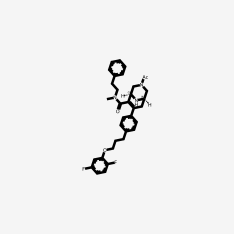 CC(=O)N1C[C@H]2CC(c3ccc(CCCOc4cc(F)ccc4F)cc3)=C(C(=O)N(C)CCc3ccccc3)[C@@H](C1)N2